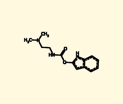 CN(C)CCNC(=O)Oc1cc2ccccc2[nH]1